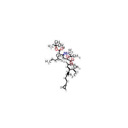 C=C(/C=C(C#CCCC1CC1)\C(C)=C/C)C[C@]1([C@H](CC(C)CCC)C(=N)CC(=O)OC(C)(C)C)OC(C)(C)OC1=O